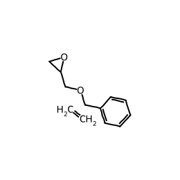 C=C.c1ccc(COCC2CO2)cc1